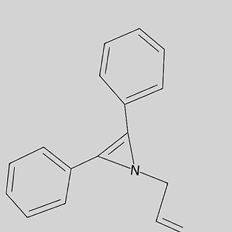 C=CCN1C(c2ccccc2)=C1c1ccccc1